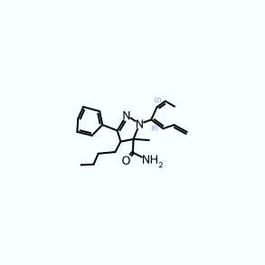 C=C/C=C(\C=C/C)N1N=C(c2ccccc2)C(CCCC)C1(C)C(N)=O